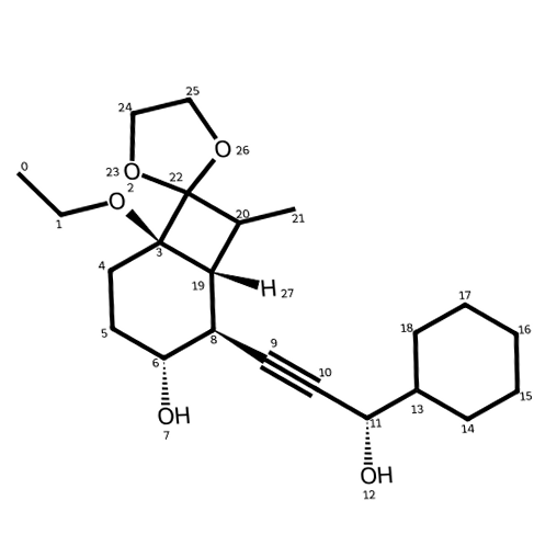 CCO[C@]12CC[C@@H](O)[C@H](C#C[C@@H](O)C3CCCCC3)[C@H]1C(C)C21OCCO1